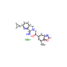 Br.CC(C)(C)c1cc(C(=O)CN2Cc3ccc(C4CC4)nc3C2=N)cc2ncoc12